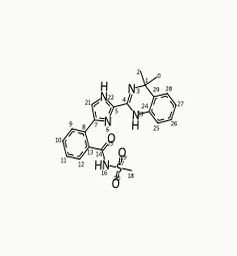 CC1(C)N=C(c2nc(-c3ccccc3C(=O)NS(C)(=O)=O)c[nH]2)Nc2ccccc21